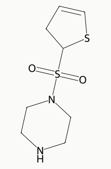 O=S(=O)(C1CC=CS1)N1CCNCC1